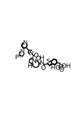 O=C(N[C@H]1CCC[C@H]2CC[C@@H](C(=O)N3CC(c4cnccc4N4CC[C@H](F)C4)C3)N2C1=O)c1cc2cc(CP(=O)(O)O)ccc2s1